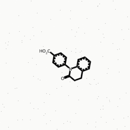 O=C(O)c1ccc(N2C(=O)CCc3ccccc32)cc1